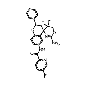 NC1=N[C@@]2(CC(c3ccccc3)Oc3ccc(NC(=O)c4ccc(F)cn4)cc32)C(F)(F)CO1